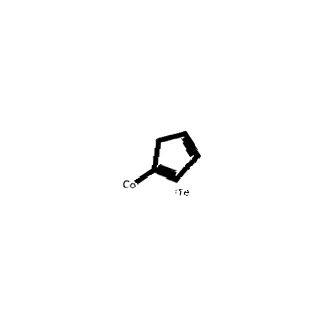 [Co][C]1=CC=CC1.[Te]